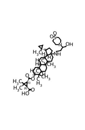 CC1([C@@H]2CC[C@]3(NCCC(CO)N4CCS(=O)(=O)CC4)CC[C@]4(C)[C@H](CC[C@@H]5[C@@]6(C)CC[C@H](OC(=O)[C@H]7[C@@H](C(=O)O)C7(C)C)C(C)(C)[C@@H]6CC[C@]54C)[C@@H]23)CC1